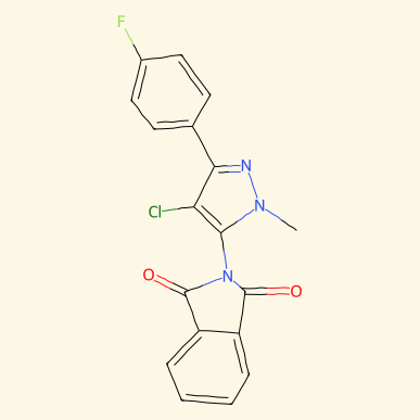 Cn1nc(-c2ccc(F)cc2)c(Cl)c1N1C(=O)c2ccccc2C1=O